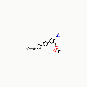 C=C(C)C(=O)OCCc1cc(-c2ccc(C3CCC(CCCCC)CC3)cc2)ccc1CCN(C)C